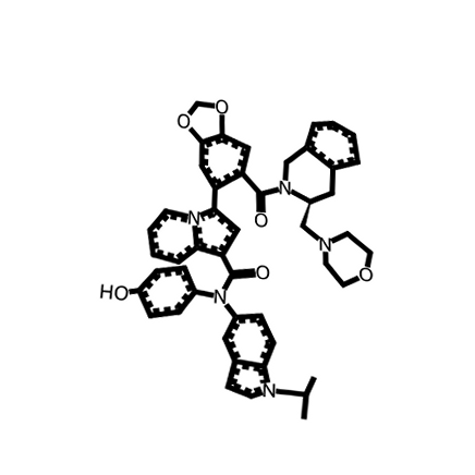 CC(C)n1ccc2cc(N(C(=O)c3cc(-c4cc5c(cc4C(=O)N4Cc6ccccc6C[C@H]4CN4CCOCC4)OCO5)n4ccccc34)c3ccc(O)cc3)ccc21